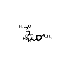 CSc1ccc(CC(=NO)OC(=O)COC(C)=O)cc1